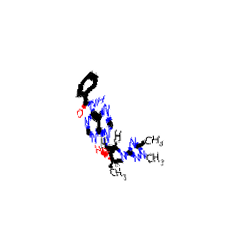 CC[C@@]12CN(c3nc(C)n(C)n3)[C@@H]([C@H](n3cnc4c(NC(=O)c5ccccc5)ncnc43)O1)[C@@H]2O